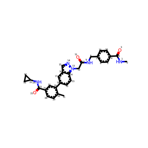 CNC(=O)c1ccc(CNC(=O)Cn2ncc3cc(-c4cc(C(=O)NC5CC5)ccc4C)ccc32)cc1